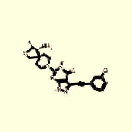 C[C@@H]1OCC2(CCN(c3nc4[nH]nc(C#Cc5cccc(Cl)c5)c4c(=O)n3C)CC2)[C@@H]1N